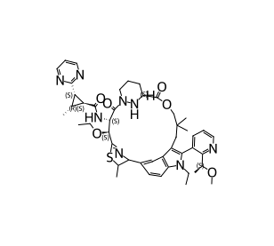 CCO[C@@H]1C2=NC(c3ccc4c(c3)c(c(-c3cccnc3[C@H](C)OC)n4CC)CC(C)(C)COC(=O)[C@@H]3CCCN(N3)C(=O)[C@H]1NC(=O)[C@H]1[C@H](C)[C@@H]1c1ncccn1)C(C)S2